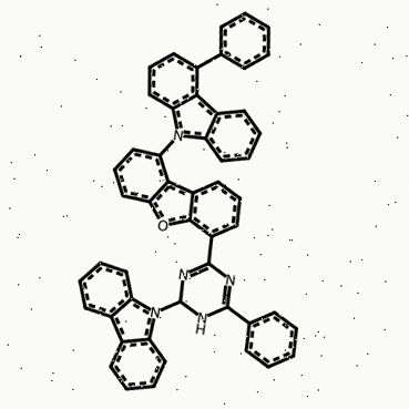 c1ccc(C2=NC(c3cccc4c3oc3cccc(-n5c6ccccc6c6c(-c7ccccc7)cccc65)c34)=NC(n3c4ccccc4c4ccccc43)N2)cc1